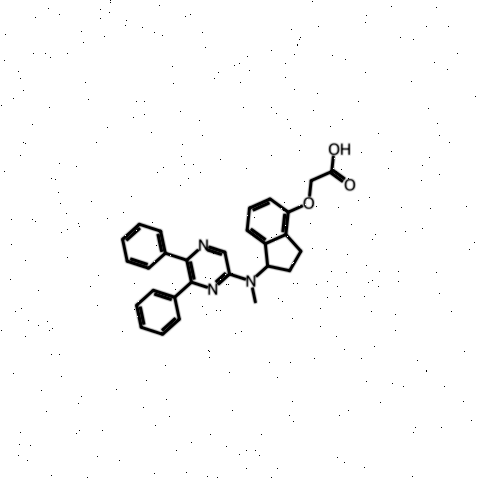 CN(c1cnc(-c2ccccc2)c(-c2ccccc2)n1)C1CCc2c(OCC(=O)O)cccc21